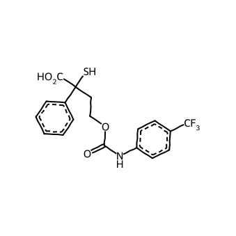 O=C(Nc1ccc(C(F)(F)F)cc1)OCCC(S)(C(=O)O)c1ccccc1